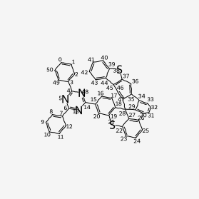 c1ccc(-c2nc(-c3ccccc3)nc(-c3ccc4c(c3)Sc3ccccc3C43c4ccccc4-c4cc5sc6ccccc6c5cc43)n2)cc1